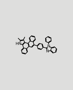 Cc1[nH]c2c3ccccc3c3cc(-c4ccc(-c5nc6ccccc6n5-c5ccccc5)cc4)c4ccccc4c3c2c1C